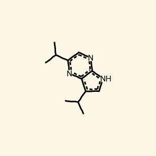 CC(C)c1cnc2[nH]cc(C(C)C)c2n1